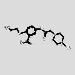 CCCOc1ccc(NC(=O)CN2CCN(C)CC2)cc1C(N)=O